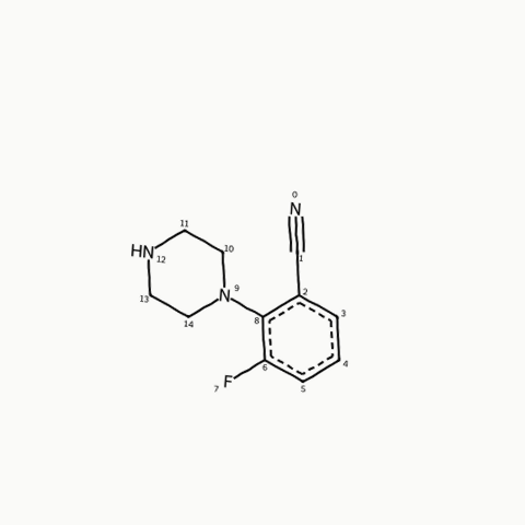 N#Cc1cccc(F)c1N1CCNCC1